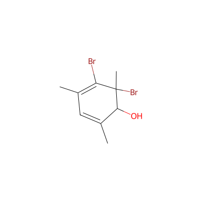 CC1=CC(C)=C(Br)C(C)(Br)C1O